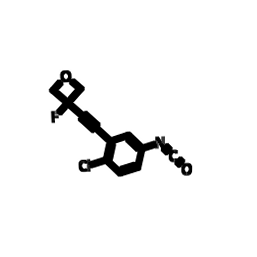 O=C=Nc1ccc(Cl)c(C#CC2(F)COC2)c1